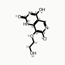 O=c1nc(O)c2cnc(Cl)c(OCCO)c2[nH]1